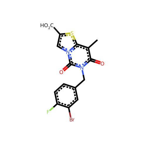 Cc1c(=O)n(Cc2ccc(F)c(Br)c2)c(=O)n2cc(C(=O)O)sc12